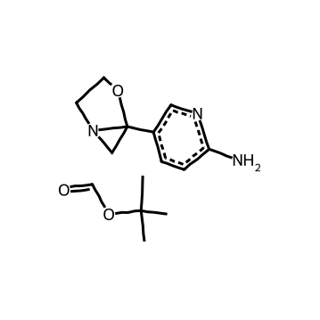 CC(C)(C)OC=O.Nc1ccc(C23CN2CCO3)cn1